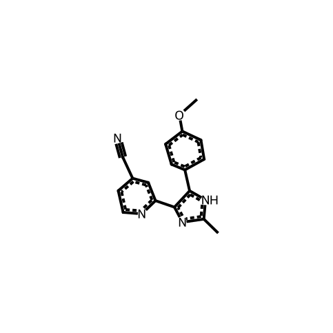 COc1ccc(-c2[nH]c(C)nc2-c2cc(C#N)ccn2)cc1